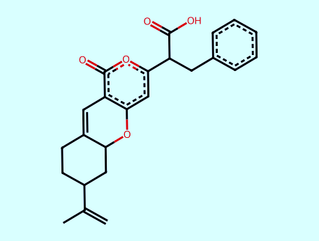 C=C(C)C1CCC2=Cc3c(cc(C(Cc4ccccc4)C(=O)O)oc3=O)OC2C1